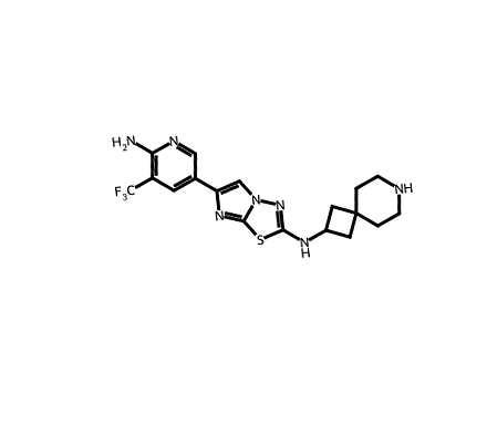 Nc1ncc(-c2cn3nc(NC4CC5(CCNCC5)C4)sc3n2)cc1C(F)(F)F